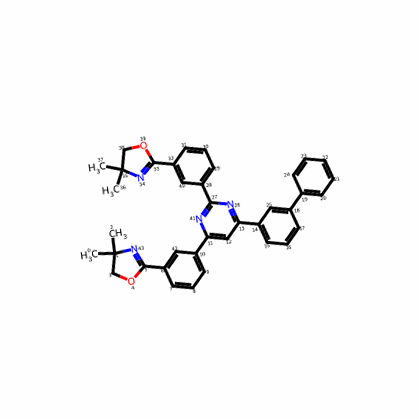 CC1(C)COC(c2cccc(-c3cc(-c4cccc(-c5ccccc5)c4)nc(-c4cccc(C5=NC(C)(C)CO5)c4)n3)c2)=N1